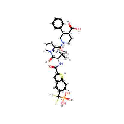 CC(C)(C)[C@H](NC(=O)c1cc2cc(C(F)(F)P(=O)(O)O)ccc2s1)C(=O)N1CCC[C@H]1C(=O)N1CCC(C(=O)O)C(c2ccccc2)C1